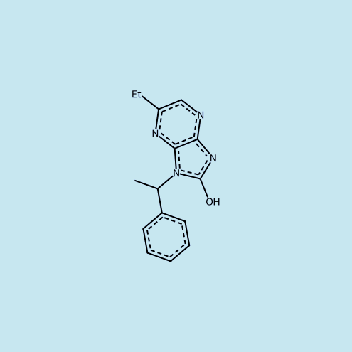 CCc1cnc2nc(O)n(C(C)c3ccccc3)c2n1